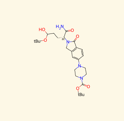 CC(C)(C)OC(=O)N1CCN(c2ccc3c(c2)CN([C@H](CCC(O)OC(C)(C)C)C(N)=O)C3=O)CC1